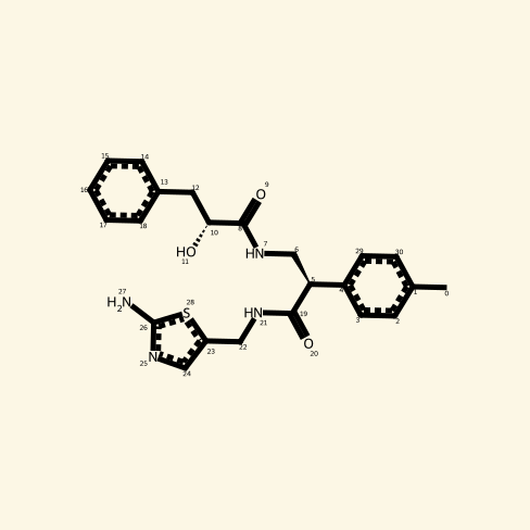 Cc1ccc([C@H](CNC(=O)[C@H](O)Cc2ccccc2)C(=O)NCc2cnc(N)s2)cc1